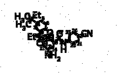 CCC(C)(C)c1ccc(Oc2ccc(N)cc2C(=O)Nc2ccc(C#N)cc2)c(C(C)(C)CC)c1